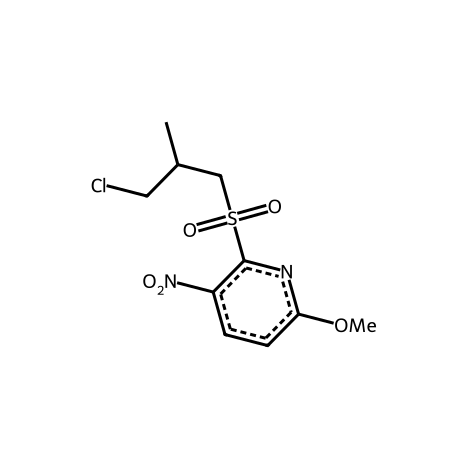 COc1ccc([N+](=O)[O-])c(S(=O)(=O)CC(C)CCl)n1